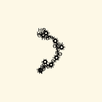 O=C(NC(c1ccccc1)c1cccc(OCc2ccc(C(=O)OCCN(C(=O)Nc3ccc(CNC[C@@H](O)c4ccc(O)c5[nH]c(=O)ccc45)cc3)c3ccccc3)cc2)c1)O[C@H]1CN2CCC1CC2